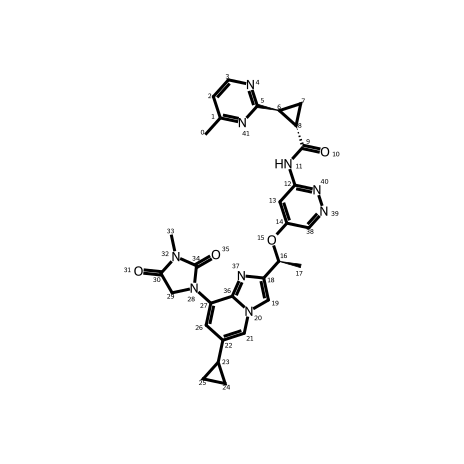 Cc1ccnc([C@H]2C[C@@H]2C(=O)Nc2cc(O[C@@H](C)c3cn4cc(C5CC5)cc(N5CC(=O)N(C)C5=O)c4n3)cnn2)n1